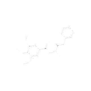 COc1cc(C(=O)CN(C)C(=O)Cc2ccccc2)cc(OC)c1OC